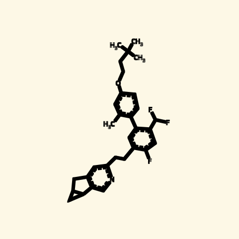 Cc1cc(OCCC(C)(C)C)ccc1-c1cc(CCc2cc3c(cn2)C2CC2C3)c(F)cc1C(F)F